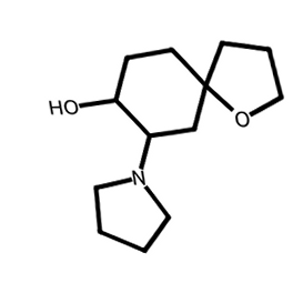 OC1CCC2(CCCO2)CC1N1CCCC1